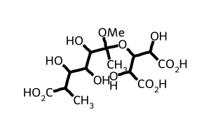 COC(C)(OC(C(O)C(=O)O)C(O)C(=O)O)C(O)C(O)C(O)C(C)C(=O)O